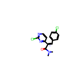 CN(C)C(=O)/C(=C/c1ccc(Cl)cc1)c1ccnc(Cl)n1